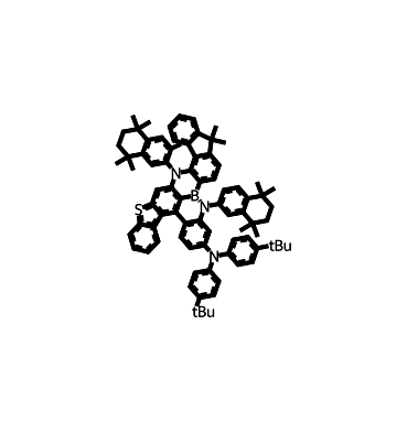 Cc1cc2c(cc1N1c3cc4sc5ccccc5c4c4c3B(c3ccc5c(c31)-c1ccccc1C5(C)C)N(c1ccc3c(c1)C(C)(C)CCC3(C)C)c1cc(N(c3ccc(C(C)(C)C)cc3)c3ccc(C(C)(C)C)cc3)ccc1-4)C(C)(C)CCC2(C)C